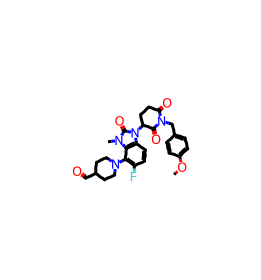 COc1ccc(CN2C(=O)CCC(n3c(=O)n(C)c4c(N5CCC(C=O)CC5)c(F)ccc43)C2=O)cc1